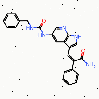 NC(=O)C(=Cc1c[nH]c2ncc(NC(=O)NCc3ccccc3)cc12)c1ccccc1